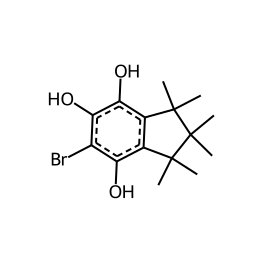 CC1(C)c2c(O)c(O)c(Br)c(O)c2C(C)(C)C1(C)C